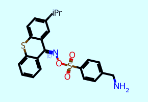 CC(C)c1ccc2sc3ccccc3/c(=N\OS(=O)(=O)c3ccc(CN)cc3)c2c1